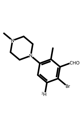 [2H]c1cc(N2CCN(C)CC2)c(C)c(C=O)c1Br